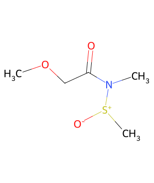 COCC(=O)N(C)[S+](C)[O-]